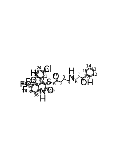 O=C(CCCNCCC(O)c1ccccc1)CSc1c(-c2cc(Cl)ccc2O)c2cc(C(F)(F)F)ccc2[nH]c1=O